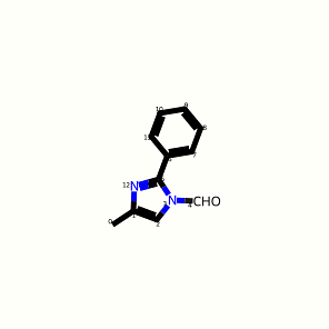 Cc1cn(C=O)c(-c2ccccc2)n1